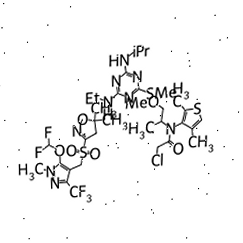 CCNc1nc(NC(C)C)nc(SC)n1.COCC(C)N(C(=O)CCl)c1c(C)csc1C.Cn1nc(C(F)(F)F)c(CS(=O)(=O)C2=NOC(C)(C)C2)c1OC(F)F